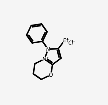 CCc1cc2[n+](n1-c1ccccc1)CCCO2.[Cl-]